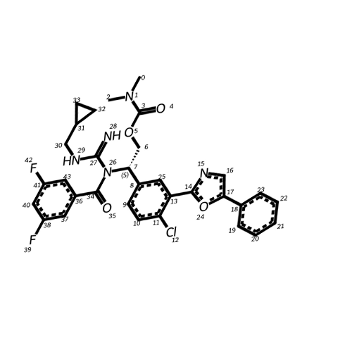 CN(C)C(=O)OC[C@H](c1ccc(Cl)c(-c2ncc(-c3ccccc3)o2)c1)N(C(=N)NCC1CC1)C(=O)c1cc(F)cc(F)c1